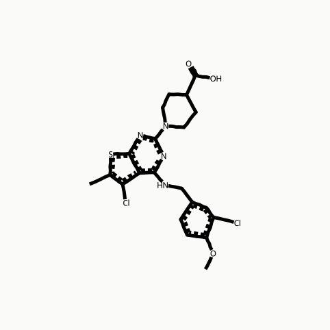 COc1ccc(CNc2nc(N3CCC(C(=O)O)CC3)nc3sc(C)c(Cl)c23)cc1Cl